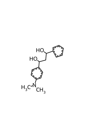 CN(C)c1ccc(C(O)CC(O)c2ccccc2)cc1